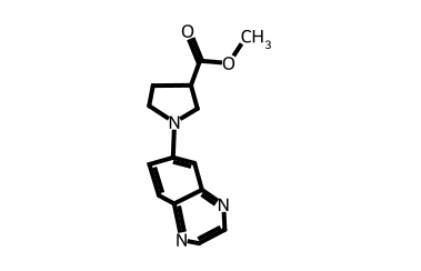 COC(=O)C1CCN(c2ccc3nccnc3c2)C1